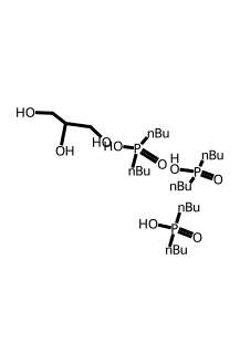 CCCCP(=O)(O)CCCC.CCCCP(=O)(O)CCCC.CCCCP(=O)(O)CCCC.OCC(O)CO